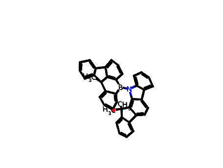 CC1(C)c2ccccc2-c2ccc3c4ccccc4n(B4c5ccccc5C5(C)c6ccccc6-c6cccc4c65)c3c21